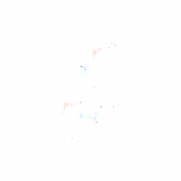 COc1cc(C)c(-c2c(C)nn3c(C)coc23)cn1